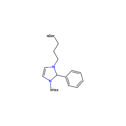 CCCCCCCCCCCCCN1C=CN(CCCCCC)C1c1ccccc1